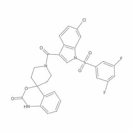 O=C1Nc2ccccc2C2(CCN(C(=O)c3cn(S(=O)(=O)c4cc(F)cc(F)c4)c4cc(Cl)ccc34)CC2)O1